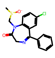 C[S+]([O-])CN1C(=O)CN=C(c2ccccc2)c2cc(Cl)ccc21